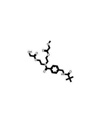 COCC(=O)OCCN(CCOC(=O)CO)C(=O)c1ccc(CNC(=O)C(C)(C)C)cc1